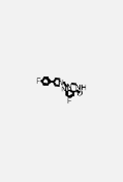 O=C1NCCn2c(CN3CCC(C4=CCC(F)C=C4)CC3)nc3cc(F)cc1c32